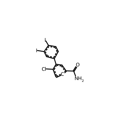 NC(=O)c1ccc(Cl)c(-c2ccc(I)c(I)c2)c1